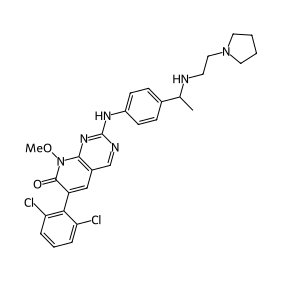 COn1c(=O)c(-c2c(Cl)cccc2Cl)cc2cnc(Nc3ccc(C(C)NCCN4CCCC4)cc3)nc21